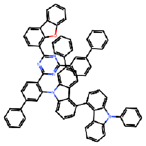 c1ccc(-c2cccc(-c3nc(-c4ccc(-c5ccccc5)cc4-n4c5cc(-c6ccccc6)ccc5c5c(-c6cccc7c6c6ccccc6n7-c6ccccc6)cccc54)nc(-c4cccc5c4oc4ccccc45)n3)c2)cc1